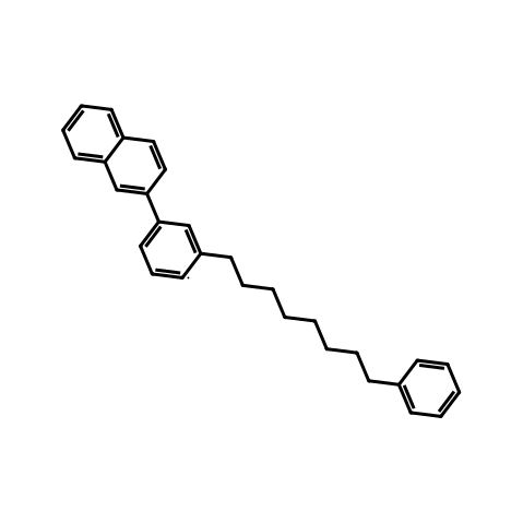 [c]1ccc(-c2ccc3ccccc3c2)cc1CCCCCCCCc1ccccc1